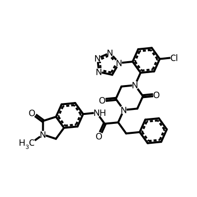 CN1Cc2cc(NC(=O)C(Cc3ccccc3)N3CC(=O)N(c4cc(Cl)ccc4-n4cnnn4)CC3=O)ccc2C1=O